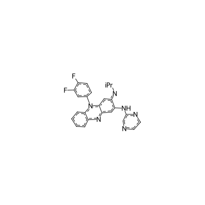 CC(C)/N=c1\cc2n(-c3ccc(F)c(F)c3)c3ccccc3nc-2cc1Nc1cnccn1